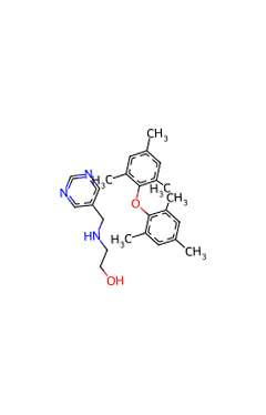 Cc1cc(C)c(Oc2c(C)cc(C)cc2C)c(C)c1.OCCNCc1cncnc1